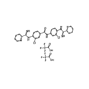 N=C(Nc1ccc(NC(=O)c2ccc(NC(=N)c3ccccn3)c(Cl)c2)cc1Cl)c1ccccn1.O=C(O)C(F)(F)F.O=C(O)C(F)(F)F